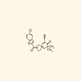 CC1(C)C[C@@]2(C=C(C#N)C1=O)CCN(C(=O)c1cc3cc(Cl)ccc3o1)C2